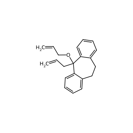 C=CCOC1(CC=C)c2ccccc2CCc2ccccc21